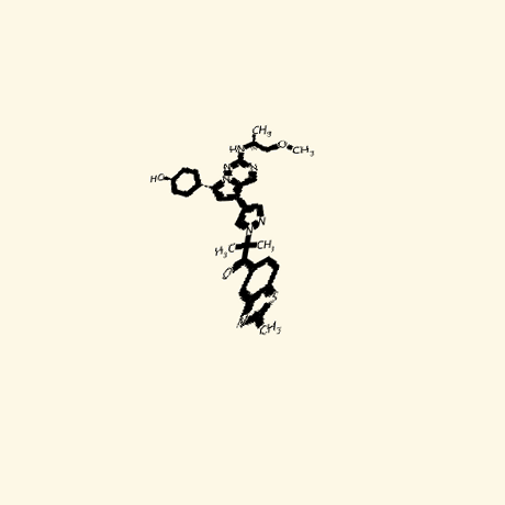 COC[C@H](C)Nc1ncc2c(-c3cnn(C(C)(C)C(=O)C4CCc5sc(C)nc5C4)c3)cc([C@H]3CC[C@H](O)CC3)n2n1